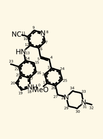 COc1cc(C=Cc2cncc(C#N)c2Nc2ccc3[nH]ccc3c2C)ccc1CN1CCN(C)CC1